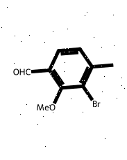 COc1c(C=O)ccc(C)c1Br